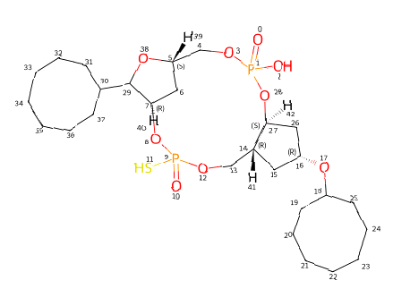 O=P1(O)OC[C@@H]2C[C@@H](OP(=O)(S)OC[C@H]3C[C@@H](OC4CCCCCCC4)C[C@@H]3O1)C(C1CCCCCCC1)O2